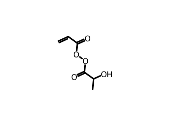 C=CC(=O)OOC(=O)C(C)O